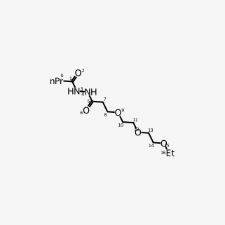 CCCC(=O)NNC(=O)CCOCCOCCOCC